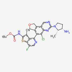 C[C@H]1[C@@H](N)CCN1c1ncc2c3c(c(-c4ncc(F)c5sc(NC(=O)OC(C)(C)C)c(C#N)c45)c(Cl)c2n1)COC3